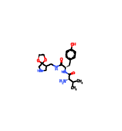 CC(C)[C@H](N)C(=O)N[C@@H](Cc1ccc(O)cc1)C(=O)NCC1CNCC12OCCO2